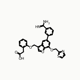 N=C(N)c1cccc(-c2cc(OCc3nccs3)c3occ(COc4ccccc4CC(=O)O)c3c2)c1